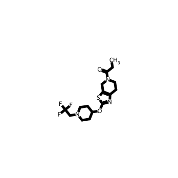 CCC(=O)N1CCc2nc(OC3CCN(CC(F)(F)F)CC3)sc2C1